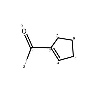 O=C(I)C1=CCCC1